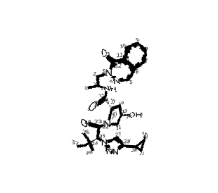 CC(Cn1ncc2ccccc2c1=O)NC(=O)[C@@H]1C[C@@H](O)CN1C(=O)[C@@H](n1cc(C2CC2)nn1)C(C)(C)C